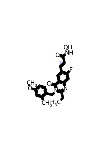 CCc1nc2cc(F)c(/C=C/C(=O)NO)cc2c(=O)n1Cc1ccc(OC)cc1C